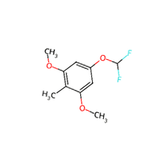 COc1cc(OC(F)F)cc(OC)c1C